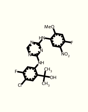 COc1cc(F)c([N+](=O)[O-])cc1Nc1ncnc(Nc2cc(F)c(Cl)cc2C(C)(C)O)n1